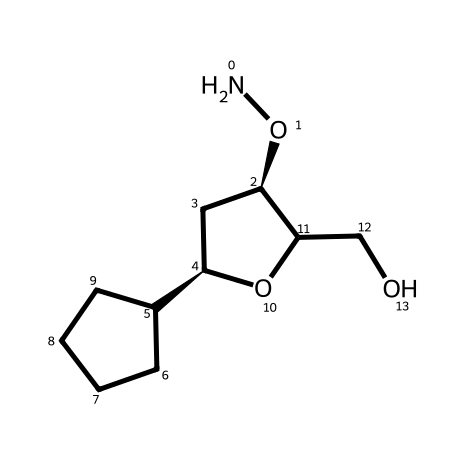 NO[C@@H]1C[C@H](C2CCCC2)OC1CO